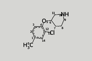 Cc1ccc(OC2CCCNC2)c(Cl)c1